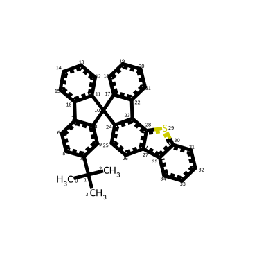 CC(C)(C)c1ccc2c(c1)C1(c3ccccc3-2)c2ccccc2-c2c1ccc1c2sc2ccccc21